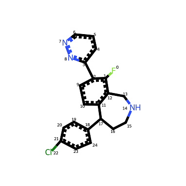 Fc1c(-c2cccnn2)ccc2c1CNCCC2c1ccc(Cl)cc1